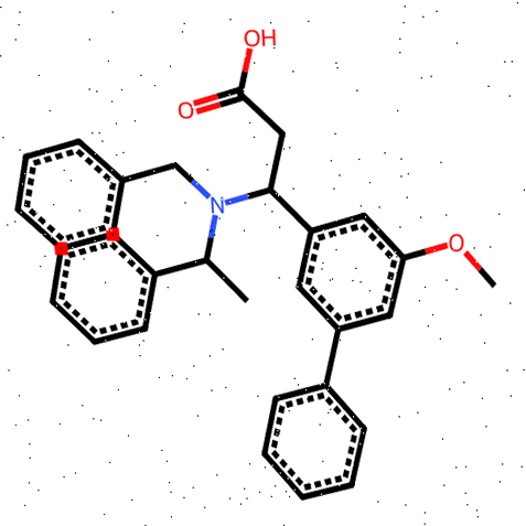 COc1cc(-c2ccccc2)cc(C(CC(=O)O)N(Cc2ccccc2)C(C)c2ccccc2)c1